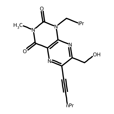 CCCC#Cc1nc2c(=O)n(C)c(=O)n(CC(C)C)c2nc1CO